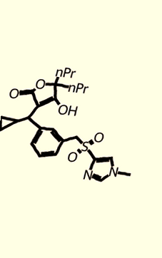 CCCC1(CCC)OC(=O)C(C(c2cccc(CS(=O)(=O)c3cn(C)cn3)c2)C2CC2)=C1O